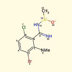 CNc1c(Br)ccc(Cl)c1C(=N)N[S+](C)[O-]